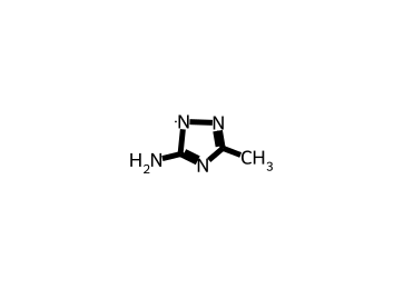 CC1=N[N]C(N)=N1